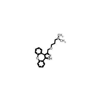 CN(C)CCCOCc1n[nH]c2c1-c1ccccc1Oc1ccccc1-2